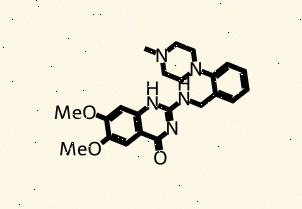 COc1cc2[nH]c(NCc3ccccc3N3CCN(C)CC3)nc(=O)c2cc1OC